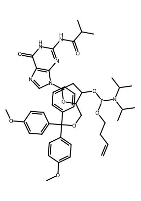 C=CCCOP(OC1CC(n2cnc3c(=O)[nH]c(NC(=O)C(C)C)nc32)OC1COC(c1ccccc1)(c1ccc(OC)cc1)c1ccc(OC)cc1)N(C(C)C)C(C)C